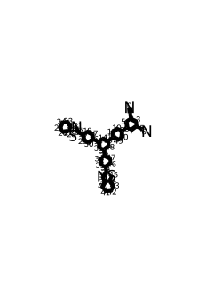 N#Cc1cc(C#N)cc(-c2ccc(-c3cc(-c4ccc(-c5nc6ccccc6s5)cc4)cc(-c4ccc(-c5nc6ccccc6s5)cc4)c3)cc2)c1